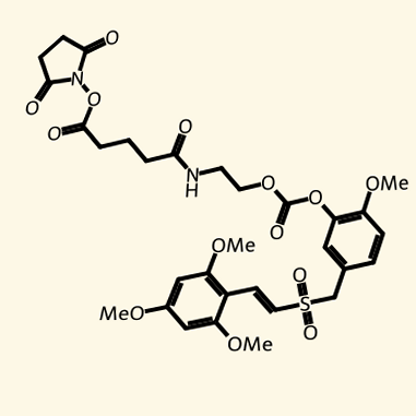 COc1cc(OC)c(/C=C/S(=O)(=O)Cc2ccc(OC)c(OC(=O)OCCNC(=O)CCCC(=O)ON3C(=O)CCC3=O)c2)c(OC)c1